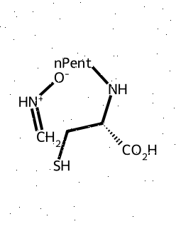 C=[NH+][O-].CCCCCN[C@@H](CS)C(=O)O